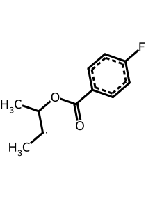 C[CH]C(C)OC(=O)c1ccc(F)cc1